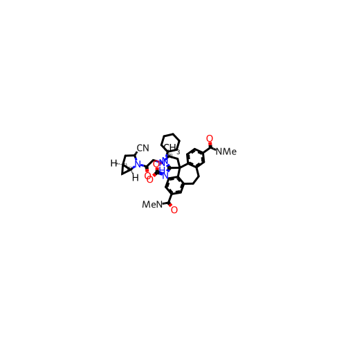 CNC(=O)c1ccc2c(c1)CCc1cc(C(=O)NC)ccc1C2(C[C@@H](C)NCC(=O)N1C(C#N)C[C@@H]2C[C@@H]21)c1nc(=O)on1C1CCCCC1